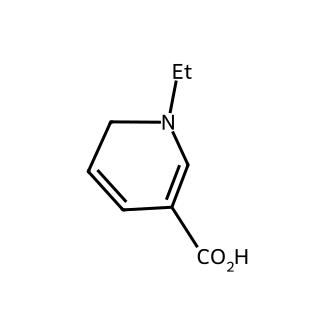 CCN1C=C(C(=O)O)C=CC1